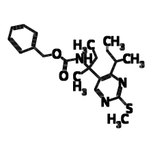 CCC(C)c1nc(SC)ncc1C(C)(CC)NC(=O)OCc1ccccc1